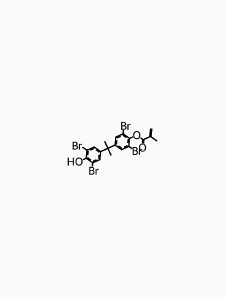 C=C(C)C(=O)Oc1c(Br)cc(C(C)(C)c2cc(Br)c(O)c(Br)c2)cc1Br